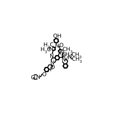 CCN(CC)C[C@@H]1Cc2ccccc2CN1C(=O)c1cc2c(cc1-c1cc(C(=O)N(c3ccc(O)cc3)c3cc(C#N)n(C)c3C)c(C)n1C)CCN(C(=O)Cc1ccc(OCCN3CCOCC3)cc1F)C2